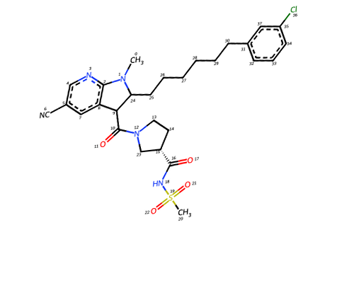 CN1c2ncc(C#N)cc2C(C(=O)N2CC[C@H](C(=O)NS(C)(=O)=O)C2)C1CCCCCCc1cccc(Cl)c1